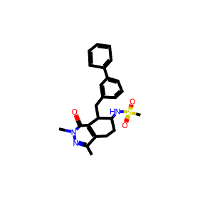 Cc1nn(C)c(=O)c2c1CCC(NS(C)(=O)=O)C2Cc1cccc(-c2ccccc2)c1